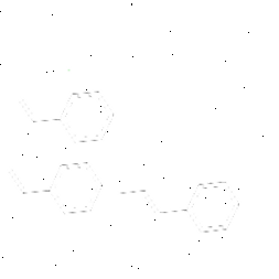 C=Cc1ccccc1.C=Cc1ccccc1.CC=Cc1ccccc1.Cl